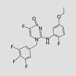 CCOc1ccc(F)c(Nc2nc(=O)c(F)cn2Cc2cc(F)c(F)c(F)c2)c1